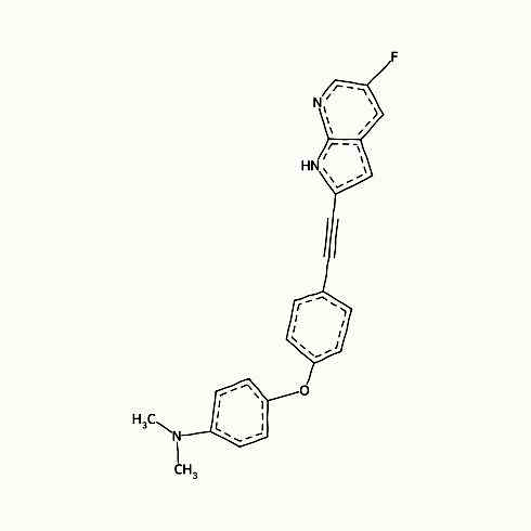 CN(C)c1ccc(Oc2ccc(C#Cc3cc4cc(F)cnc4[nH]3)cc2)cc1